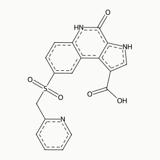 O=C(O)c1c[nH]c2c(=O)[nH]c3ccc(S(=O)(=O)Cc4ccccn4)cc3c12